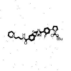 CC(C)(C)OC(=O)N1CCC[C@@H]1c1ccc(-c2nc3sc4cc(C(=O)NCCCN5CCCCC5)ccc4n3n2)c(F)c1